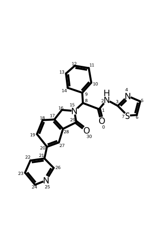 O=C(Nc1nccs1)C(c1ccccc1)N1Cc2ccc(-c3cccnc3)cc2C1=O